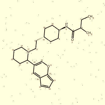 CCC(C)C(=O)N[C@H]1CC[C@H](CCN2CCCCC2c2coc3cccc-3c2)CC1